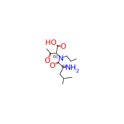 CCCN(C(=O)[C@@H](N)CC(C)C)[C@@H](C(C)=O)C(=O)O